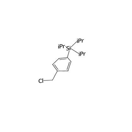 CC(C)[Si](c1ccc(CCl)cc1)(C(C)C)C(C)C